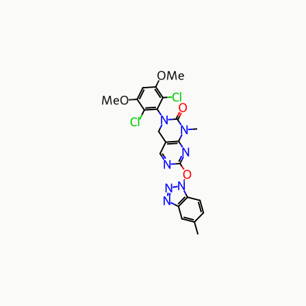 COc1cc(OC)c(Cl)c(N2Cc3cnc(On4nnc5cc(C)ccc54)nc3N(C)C2=O)c1Cl